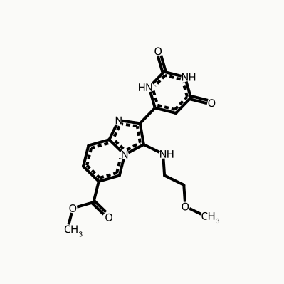 COCCNc1c(-c2cc(=O)[nH]c(=O)[nH]2)nc2ccc(C(=O)OC)cn12